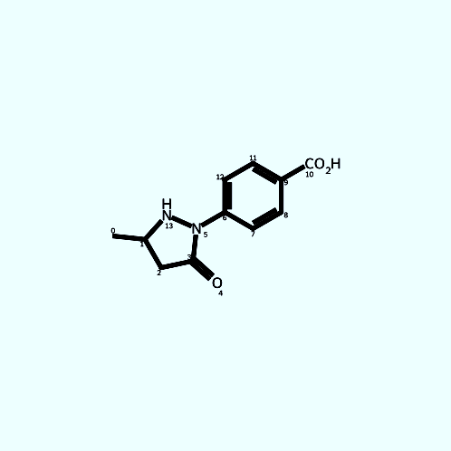 CC1CC(=O)N(c2ccc(C(=O)O)cc2)N1